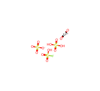 O=S(=O)(O)F.O=S(=O)(O)O.O=S(=O)([O-])[O-].[O]=[U+2]=[O]